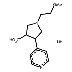 COCCN1CC(C(=O)O)C(c2ccncc2)C1.[LiH]